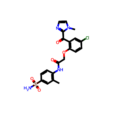 Cc1cc(S(N)(=O)=O)ccc1NC(=O)COc1ccc(Cl)cc1C(=O)c1nccn1C